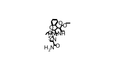 CCOC(=O)C1=C(C)NC(C)(Nc2nc(C(N)=O)cs2)C(C(=O)OCC)C1c1ccccc1